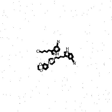 N#Cc1ccc2[nH]cc(CCCCCl)c2c1.N#Cc1ccc2[nH]cc(CCCCN3CCN(c4ccc5c(c4)OCCO5)CC3)c2c1